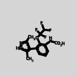 Cc1n[nH]c(C)c1-c1cccc(NC(=O)O)c1OC(F)(F)C(F)F